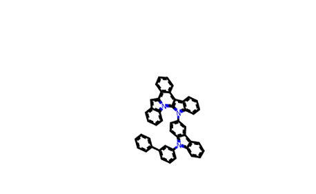 c1ccc(-c2cccc(-n3c4ccccc4c4cc(-n5c6ccccc6c6c7ccccc7c7cc8ccccc8n7c65)ccc43)c2)cc1